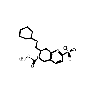 CC(C)(C)OC(=O)N1Cc2ccc(S(=O)(=O)Cl)nc2CC1CCC1CCCCC1